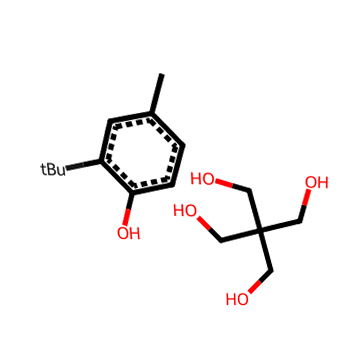 Cc1ccc(O)c(C(C)(C)C)c1.OCC(CO)(CO)CO